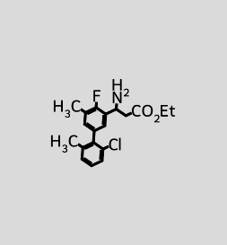 CCOC(=O)CC(N)c1cc(-c2c(C)cccc2Cl)cc(C)c1F